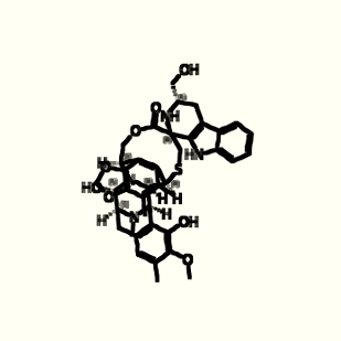 COc1c(C)cc2c(c1O)[C@@H]1[C@@H]3[C@@H]4SC[C@]5(N[C@H](CO)Cc6c5[nH]c5ccccc65)C(=O)OC[C@@H](c5c6c(c(C)c(C)c54)OCO6)N3[C@@H](O)[C@H](C2)N1C